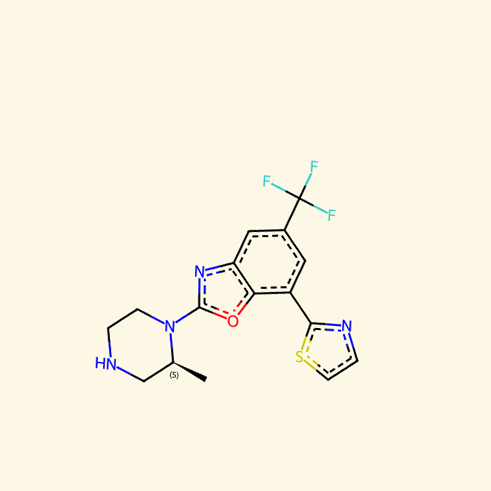 C[C@H]1CNCCN1c1nc2cc(C(F)(F)F)cc(-c3nccs3)c2o1